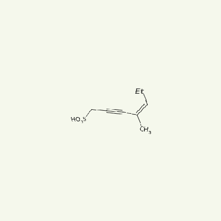 CC/C=C(/C)C#CCS(=O)(=O)O